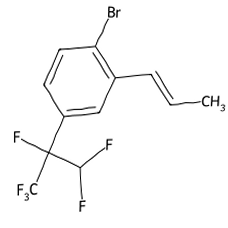 CC=Cc1cc(C(F)(C(F)F)C(F)(F)F)ccc1Br